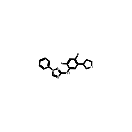 Fc1cc(F)c(C2CCOC2)cc1Nc1ncn(-c2ccccc2)n1